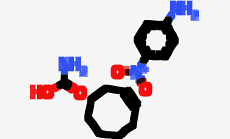 C1#CCCCCCC1.NC(=O)O.Nc1ccc([N+](=O)[O-])cc1